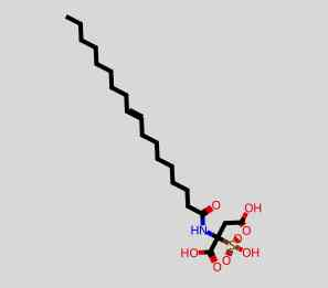 CCCCCCCCC=CCCCCCCCC(=O)NC(CC(=O)O)(C(=O)O)S(=O)(=O)O